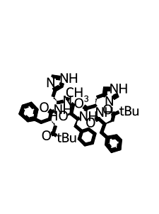 CN(C[C@H](O)[C@H](CC1CCCCC1)NC(=O)[C@H](Cc1c[nH]cn1)NC(=O)[C@@H](CC(=O)C(C)(C)C)Cc1ccccc1)[C@@H](Cc1c[nH]cn1)NC(=O)[C@H](CC(=O)C(C)(C)C)Cc1ccccc1